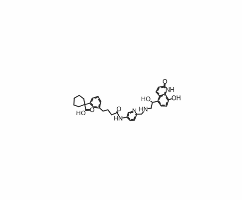 O=C(CCCc1cccc(C2(C(=O)O)CCCCC2)c1)Nc1ccc(CNCC(O)c2ccc(O)c3[nH]c(=O)ccc23)nc1